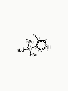 CCC[CH2][Sn]([CH2]CCC)([CH2]CCC)[c]1n[nH]cc1C